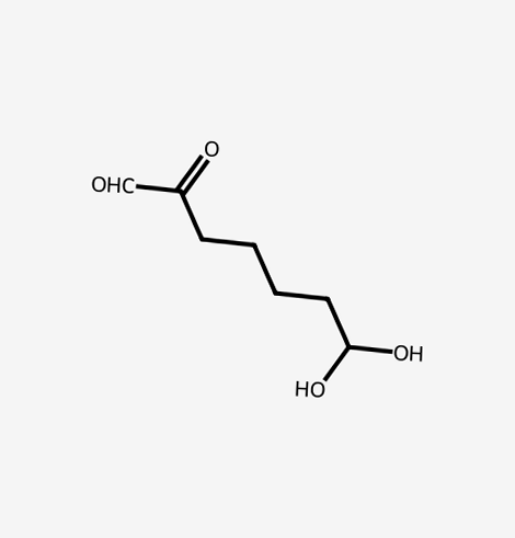 O=CC(=O)CCCCC(O)O